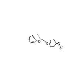 CCOc1ccc(OCC(C)Oc2ccccc2)cc1